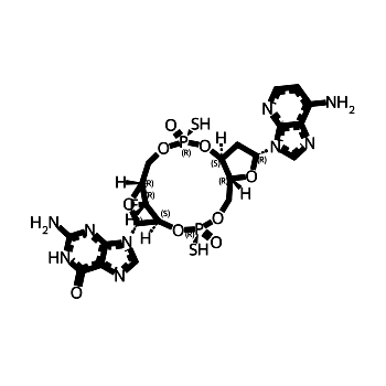 Nc1nc2c(ncn2[C@@H]2O[C@@H]3CO[P@@](=O)(S)O[C@H]4C[C@H](n5cnc6c(N)ccnc65)O[C@@H]4CO[P@@](=O)(S)O[C@@H]2[C@@H]3F)c(=O)[nH]1